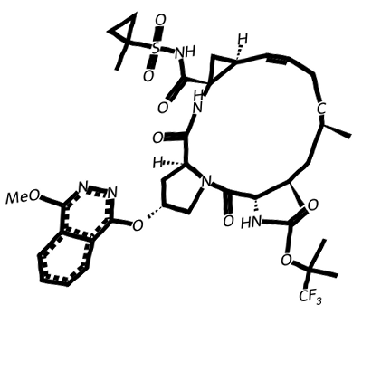 COc1nnc(O[C@@H]2C[C@H]3C(=O)N[C@]4(C(=O)NS(=O)(=O)C5(C)CC5)C[C@H]4/C=C\CC[C@@H](C)C[C@@H](C)[C@H](NC(=O)OC(C)(C)C(F)(F)F)C(=O)N3C2)c2ccccc12